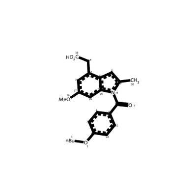 CCCCOc1ccc(C(=O)n2c(C)cc3c(CC(=O)O)cc(OC)cc32)cc1